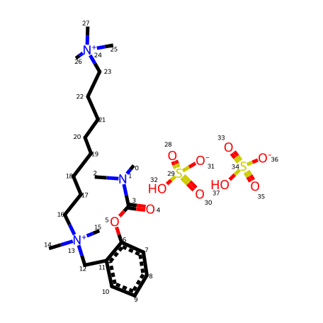 CN(C)C(=O)Oc1ccccc1C[N+](C)(C)CCCCCCCC[N+](C)(C)C.O=S(=O)([O-])O.O=S(=O)([O-])O